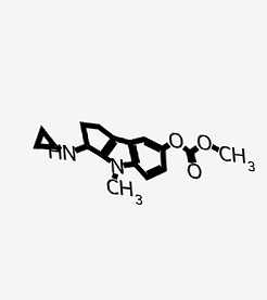 COC(=O)Oc1ccc2c(c1)c1c(n2C)C(NC2CC2)CC1